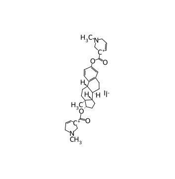 CN1CC=C[C+](C(=O)Oc2ccc3c(c2)CC[C@@H]2[C@@H]3CC[C@]3(C)[C@@H](OC(=O)[C+]4C=CCN(C)C4)CC[C@@H]23)C1.[I-].[I-]